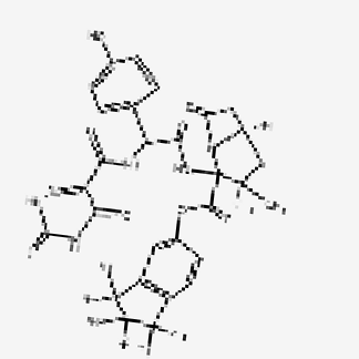 [2H]C1([2H])c2ccc(OC(=O)[C@]3(NC(=O)C(NC(=O)c4n[nH]c(=S)[nH]c4=O)c4ccc(O)cc4)N4C(=O)C[C@H]4SC3(C)C)cc2C([2H])([2H])C1([2H])[2H]